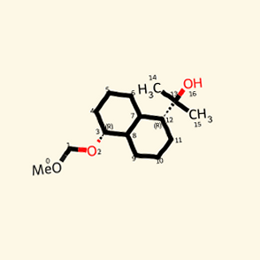 COCO[C@@H]1CCCC2C1CCC[C@H]2C(C)(C)O